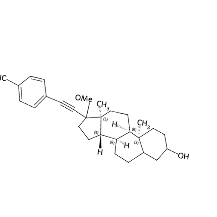 COC1(C#Cc2ccc(C#N)cc2)CC[C@H]2[C@@H]3CCC4CC(O)CC[C@]4(C)[C@@H]3CC[C@@]21C